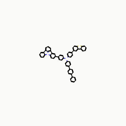 c1ccc(-c2ccc(-c3ccc(N(c4ccc(-c5ccc6sc7ccccc7c6c5)cc4)c4ccc(-c5ccc6c(c5)c5cccc7c8ccccc8n6c75)cc4)cc3)cc2)cc1